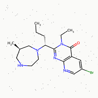 CCC[C@H](c1nc2ncc(Br)cc2c(=O)n1CC)N1CCNC[C@@H](C)C1